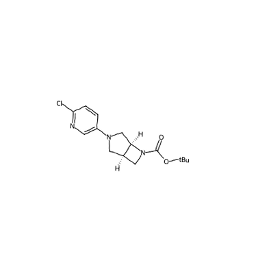 CC(C)(C)OC(=O)N1C[C@H]2CN(c3ccc(Cl)nc3)C[C@H]21